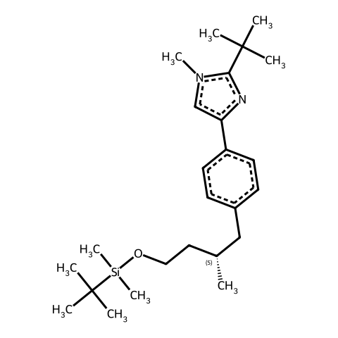 C[C@H](CCO[Si](C)(C)C(C)(C)C)Cc1ccc(-c2cn(C)c(C(C)(C)C)n2)cc1